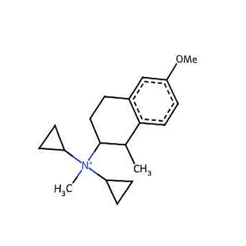 COc1ccc2c(c1)CCC([N+](C)(C1CC1)C1CC1)C2C